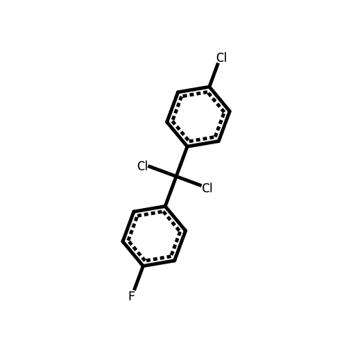 Fc1ccc(C(Cl)(Cl)c2ccc(Cl)cc2)cc1